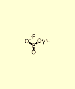 [F].[O-]B([O-])[O-].[Y+3]